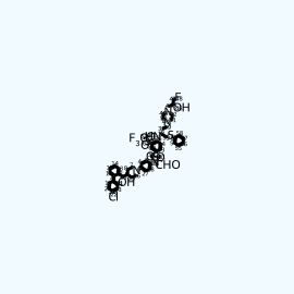 O=CN(c1ccc(N2CCC(C(O)c3ccccc3-c3ccc(Cl)cc3)CC2)cc1)S(=O)(=O)c1ccc(N[C@H](CCN2CCN(C[C@@H](O)CF)CC2)CSc2ccccc2)c(S(=O)(=O)C(F)(F)F)c1